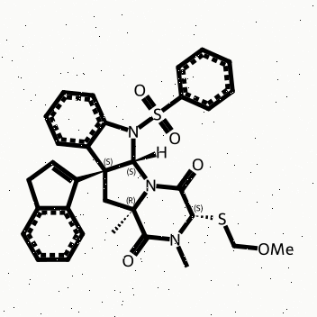 COCS[C@H]1C(=O)N2[C@H]3N(S(=O)(=O)c4ccccc4)c4ccccc4[C@@]3(C3=CCc4ccccc43)C[C@]2(C)C(=O)N1C